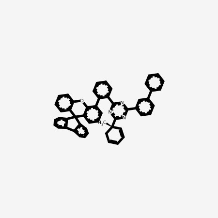 C[C@@]1(c2nc(-c3cccc(-c4ccccc4)c3)nc(-c3ccccc3-c3cccc4c3Oc3ccccc3C43c4ccccc4-c4ccccc43)n2)C=CC=CC1